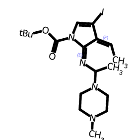 C/C=C1/C(I)=CN(C(=O)OC(C)(C)C)/C1=N/C(C)N1CCN(C)CC1